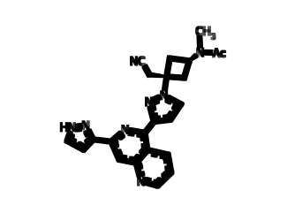 CC(=O)N(C)[C@H]1C[C@](CC#N)(n2ccc(-c3nc(-c4cc[nH]n4)cc4ncccc34)n2)C1